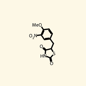 COc1ccc(CC2SC(=O)NC2=O)cc1[N+](=O)[O-]